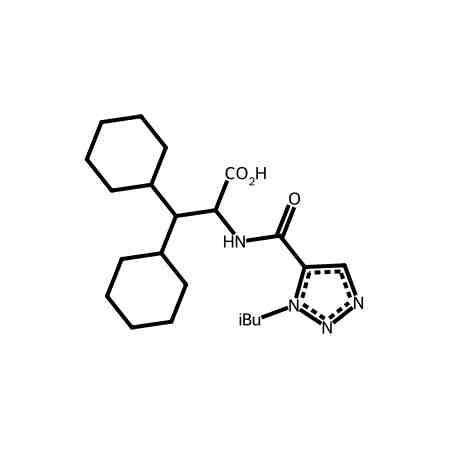 CCC(C)n1nncc1C(=O)NC(C(=O)O)C(C1CCCCC1)C1CCCCC1